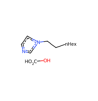 CCCCCCCCn1ccnc1.O=C(O)O